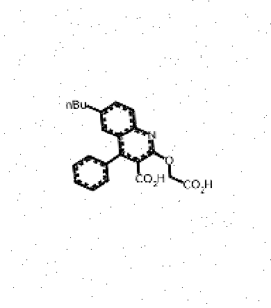 CCCCc1ccc2nc(OCC(=O)O)c(C(=O)O)c(-c3ccccc3)c2c1